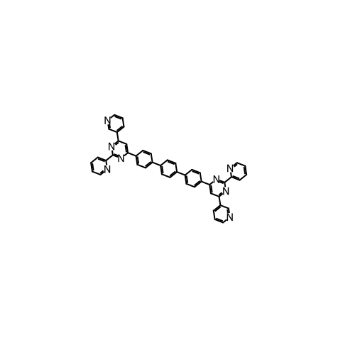 c1ccc(-c2nc(-c3ccc(-c4ccc(-c5ccc(-c6cc(-c7cccnc7)nc(-c7ccccn7)n6)cc5)cc4)cc3)cc(-c3cccnc3)n2)nc1